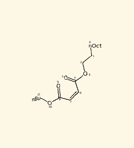 CCCCCCCCCCOC(=O)/C=C\C(=O)OCCCC